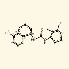 Cc1c(Cl)cccc1NC(=O)Nc1cccc2c(O)cccc12